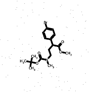 COC(=O)C(CCN(C)C(=O)OC(C)(C)C)c1ccc(Br)cc1